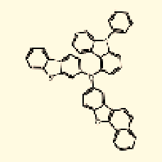 c1ccc(-n2c3ccccc3c3c(N(c4ccc5c(c4)sc4ccccc45)c4ccc5oc6c7ccccc7ccc6c5c4)cccc32)cc1